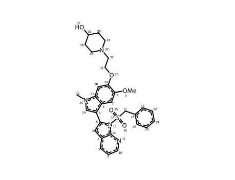 COc1cc2c(-c3cc4cccnc4n3S(=O)(=O)Cc3ccccc3)cn(C)c2cc1OCCN1CCC(O)CC1